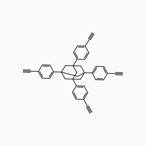 C#Cc1ccc(C23CC4(c5ccc(C#C)cc5)CC(c5ccc(C#C)cc5)(C2)CC(c2ccc(C#C)cc2)(C3)C4)cc1